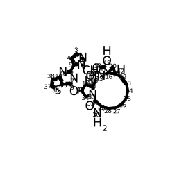 Cn1nccc1-c1nc(O[C@@H]2C[C@H]3C(=O)N[C@]4(C(=O)O)C[C@H]4C=CCCCCC[C@H](N)C(=O)N3C2)c2sccc2n1